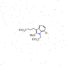 CCOC(=O)CCCc1c(SC)n(CC(=O)OCC)c2c(Br)cccc12